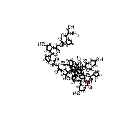 N[C@@H](CS)C(=O)N1CCC[C@H]1C(=O)NCC(=O)N1C[C@H](O)C[C@H]1C(=O)N1CCC[C@H]1C(=O)NCC(=O)N1C[C@H](O)C[C@H]1C(=O)N1CCC[C@H]1C(=O)NCC(=O)N1C[C@H](O)C[C@H]1C(=O)N1CCC[C@H]1C(=O)NCC(=O)N1C[C@H](O)C[C@H]1C(=O)N1CCC[C@H]1C(=O)NCC(=O)N1C[C@H](O)C[C@H]1C(=O)N1CCC[C@H]1C(=O)NCC(=O)O